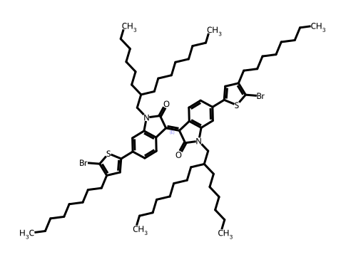 CCCCCCCCc1cc(-c2ccc3c(c2)N(CC(CCCCCC)CCCCCCCC)C(=O)/C3=C2/C(=O)N(CC(CCCCCC)CCCCCCCC)c3cc(-c4cc(CCCCCCCC)c(Br)s4)ccc32)sc1Br